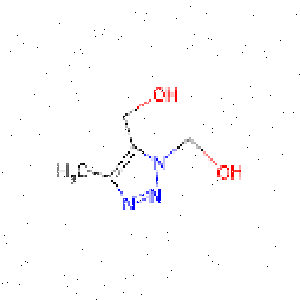 Cc1nnn(CO)c1CO